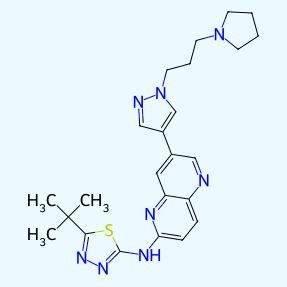 CC(C)(C)c1nnc(Nc2ccc3ncc(-c4cnn(CCCN5CCCC5)c4)cc3n2)s1